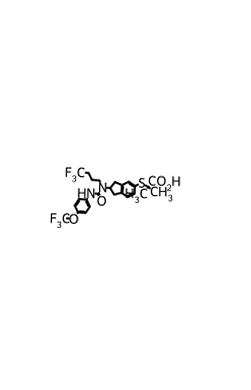 CC(C)(Sc1ccc2c(c1)CC(N(CCCC(F)(F)F)C(=O)Nc1ccc(OC(F)(F)F)cc1)C2)C(=O)O